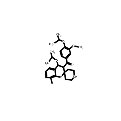 COc1cc(C(=O)C2C(OC(C)C)c3cccc(F)c3OC23CCNCC3)ccc1OC(C)C